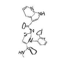 CNC(=O)c1cs/c(=N\C(=O)c2c[nH]c3ncccc23)n1-c1ccccc1Cl